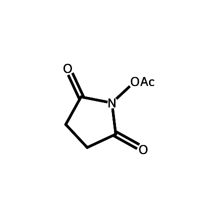 [13CH3][13C](=O)ON1C(=O)CCC1=O